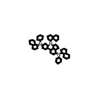 c1ccc(N(c2ccc3c(c2)N(c2cccc4ccccc24)c2cccc4c(N(c5ccccc5)c5cccc6ccccc56)ccc-3c24)c2cccc3ccccc23)cc1